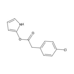 O=C(Cc1ccc(Cl)cc1)Oc1ccc[nH]1